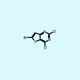 Clc1nc(Cl)c2sc(Br)cc2n1